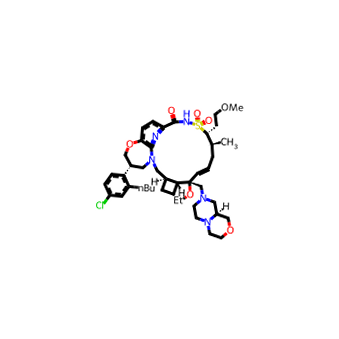 CCCCc1cc(Cl)ccc1[C@@H]1COc2ccc3nc2N(C1)C[C@@H]1CC[C@H]1[C@@](CN1CCN2CCOC[C@@H]2C1)(OCC)/C=C/C[C@H](C)[C@@H](CCOC)S(=O)(=O)NC3=O